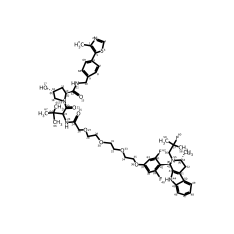 Cc1ncsc1-c1ccc(CNC(=O)[C@@H]2C[C@@H](O)CN2C(=O)C(NC(=O)COCCOCCOCCOc2cc(F)c([C@@H]3c4[nH]c5ccccc5c4C[C@@H](C)N3CC(C)(C)F)c(F)c2)C(C)(C)C)cc1